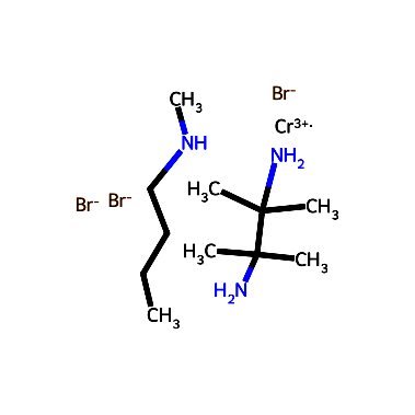 CC(C)(N)C(C)(C)N.CCCCNC.[Br-].[Br-].[Br-].[Cr+3]